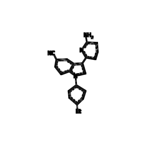 CCc1ccc(-n2cc(-c3cccc(N)n3)c3cc(C#N)ccc32)cc1